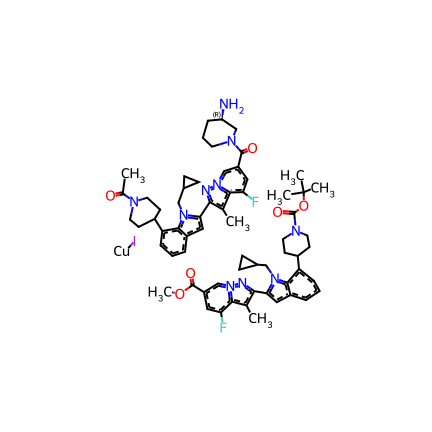 CC(=O)N1CCC(c2cccc3cc(-c4nn5cc(C(=O)N6CCC[C@@H](N)C6)cc(F)c5c4C)n(CC4CC4)c23)CC1.COC(=O)c1cc(F)c2c(C)c(-c3cc4cccc(C5CCN(C(=O)OC(C)(C)C)CC5)c4n3CC3CC3)nn2c1.[Cu][I]